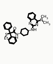 CCSC(C(=O)N[C@H]1CC[C@@H](Nc2nc(N(C)C)c3ccccc3n2)CC1)(c1ccccc1)c1ccccc1